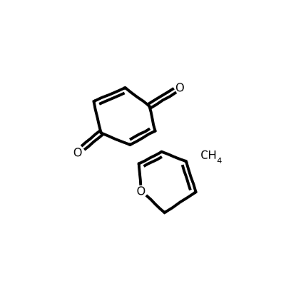 C.C1=CCOC=C1.O=C1C=CC(=O)C=C1